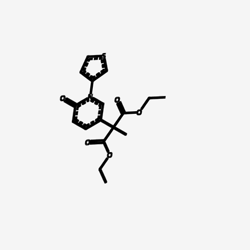 CCOC(=O)C(C)(C(=O)OCC)c1ccc(=O)n(-c2ccsc2)c1